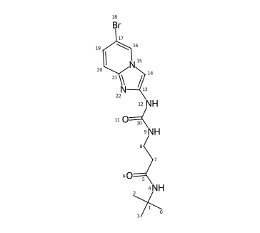 CC(C)(C)NC(=O)CCNC(=O)Nc1cn2cc(Br)ccc2n1